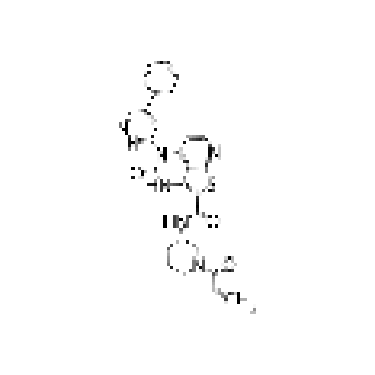 C=CC(=O)N1CCC[C@@H](NC(=O)c2sc3nccc4c3c2NC(=O)N4c2cc(-c3ccccc3)cnn2)C1